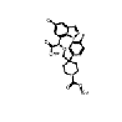 COC(=O)C(OCC1(c2ccc(F)cc2)CCN(C(=O)OC(C)(C)C)CC1)c1cc(Cl)cc2cn[nH]c12